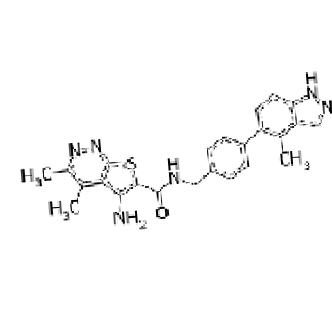 Cc1nnc2sc(C(=O)NCc3ccc(-c4ccc5[nH]ncc5c4C)cc3)c(N)c2c1C